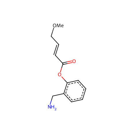 COCC=CC(=O)Oc1ccccc1CN